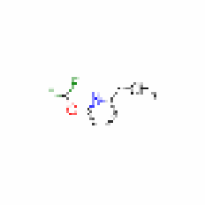 CCc1cccc(OC(F)F)n1